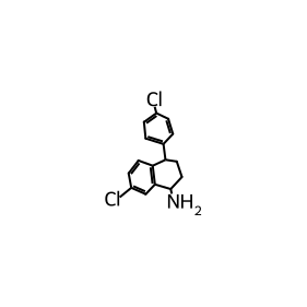 NC1CCC(c2ccc(Cl)cc2)c2ccc(Cl)cc21